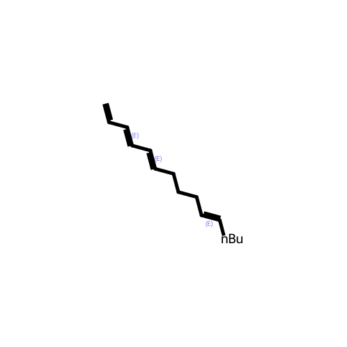 C=C/C=C/C=C/CCC/C=C/CCCC